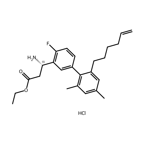 C=CCCCCc1cc(C)cc(C)c1-c1ccc(F)c([C@@H](N)CC(=O)OCC)c1.Cl